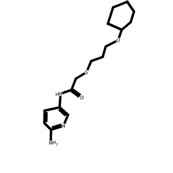 Nc1ccc(NC(=O)CSCCCOC2CCCCC2)cn1